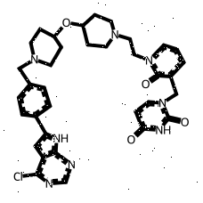 O=c1ccn(Cc2cccn(CCN3CCC(OC4CCN(Cc5ccc(-c6cc7c(Cl)ncnc7[nH]6)cc5)CC4)CC3)c2=O)c(=O)[nH]1